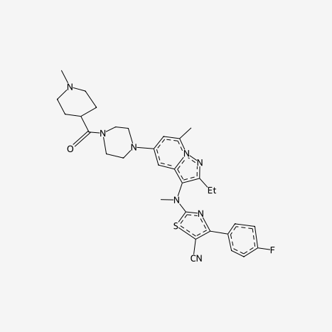 CCc1nn2c(C)cc(N3CCN(C(=O)C4CCN(C)CC4)CC3)cc2c1N(C)c1nc(-c2ccc(F)cc2)c(C#N)s1